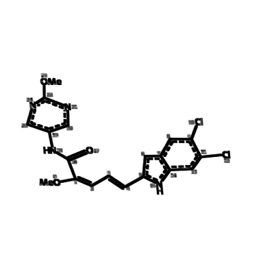 COC(=CC=Cc1cc2cc(Cl)c(Cl)cc2[nH]1)C(=O)Nc1cnc(OC)nc1